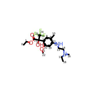 CCOC(=O)C(O)(c1cc(C)c(NCCN(C)CC)cc1OC)C(F)(F)F